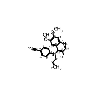 C=CCN(c1ccc(C#N)cc1)c1c(I)cnc2cc(OC)c(OC)cc12